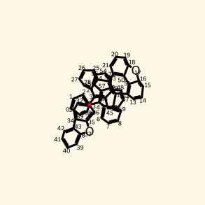 c1ccc(-c2c3ccccc3c(-c3cccc4oc5cccc(-c6c7ccccc7c(-c7ccc8c(c7)oc7ccccc78)c7ccccc67)c5c34)c3ccccc23)cc1